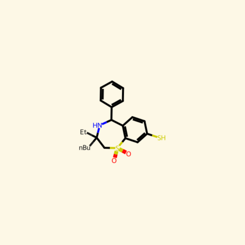 CCCCC1(CC)CS(=O)(=O)c2cc(S)ccc2C(c2ccccc2)N1